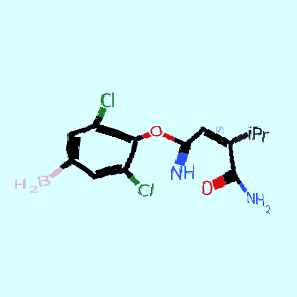 Bc1cc(Cl)c(OC(=N)/C=C(\C(N)=O)C(C)C)c(Cl)c1